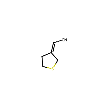 N#CC=C1CCSC1